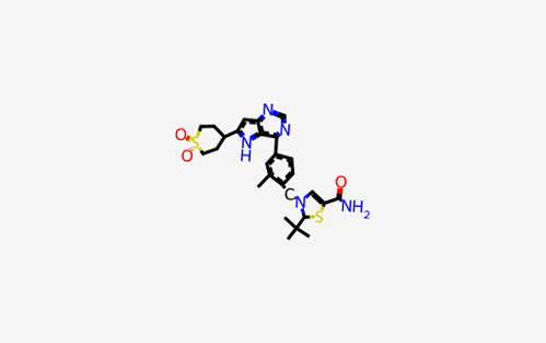 Cc1cc(-c2ncnc3cc(C4CCS(=O)(=O)CC4)[nH]c23)ccc1CN1C=C(C(N)=O)SC1C(C)(C)C